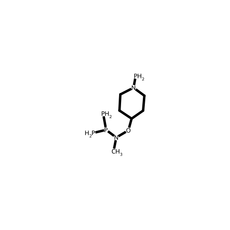 CN(OC1CCN(P)CC1)P(P)P